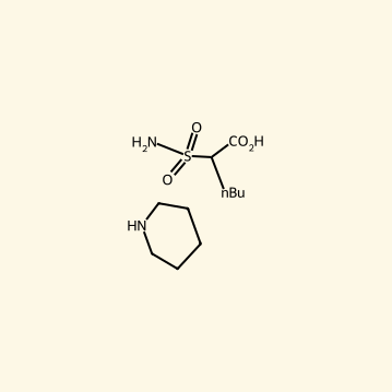 C1CCNCC1.CCCCC(C(=O)O)S(N)(=O)=O